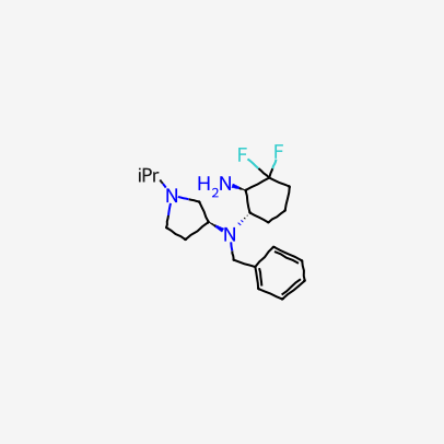 CC(C)N1CC[C@H](N(Cc2ccccc2)[C@H]2CCCC(F)(F)[C@@H]2N)C1